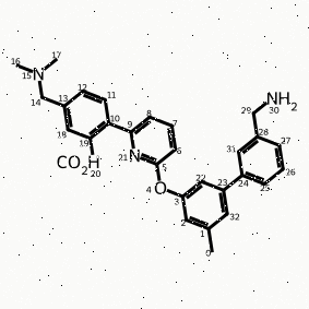 Cc1cc(Oc2cccc(-c3ccc(CN(C)C)cc3C(=O)O)n2)cc(-c2cccc(CN)c2)c1